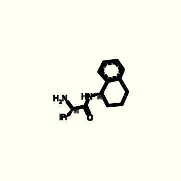 CC(C)[C@@H](N)C(=O)N[C@@H]1CCCc2ccccc21